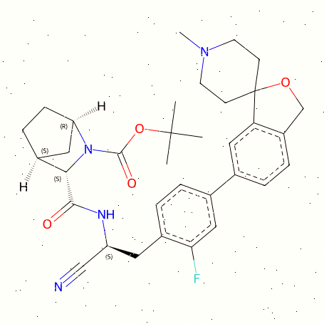 CN1CCC2(CC1)OCc1ccc(-c3ccc(C[C@@H](C#N)NC(=O)[C@@H]4[C@H]5CC[C@H](C5)N4C(=O)OC(C)(C)C)c(F)c3)cc12